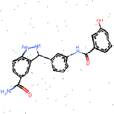 NC(=O)c1ccc2c(c1)C(c1cccc(NC(=O)c3cccc(O)c3)c1)NN2